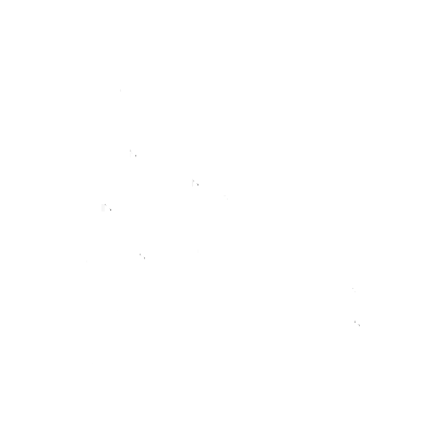 CCCCN(C(=O)Cc1ccc(C(N)=O)cc1)c1c(N)[nH]c(=O)n(Cc2ccccc2F)c1=O